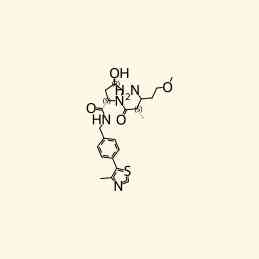 COCCC(N)[C@H](C)C(=O)N1C[C@H](O)C[C@H]1C(=O)NCc1ccc(-c2scnc2C)cc1